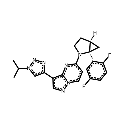 CC(C)n1cc(-c2cnn3ccc(N4CC[C@H]5C[C@]54c4cc(F)ccc4F)nc23)nn1